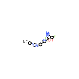 N#Cc1ccc(N2CCN(Cc3ccc(-c4ccc(C(F)(F)[C@]5(O)Cn6nnnc6-c6cc(F)ccc65)nc4)cc3)CC2)cc1